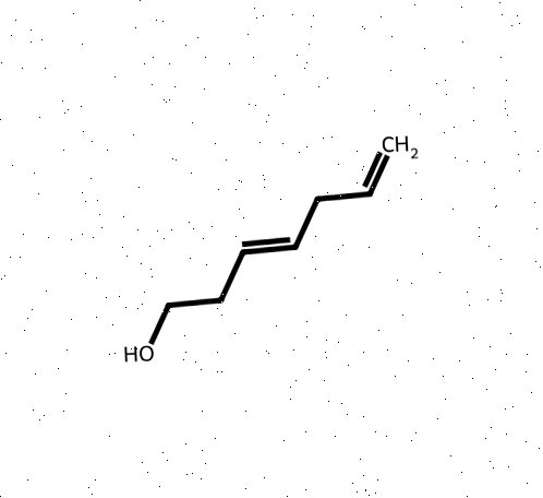 C=CCC=CCCO